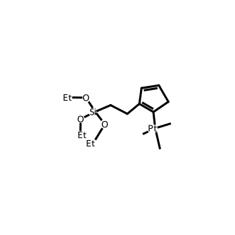 CCO[Si](CCC1=[C]([Pt]([CH3])([CH3])[CH3])CC=C1)(OCC)OCC